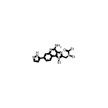 CCC(=O)N(CC)Cc1nc2c(N)nc3cc(-c4ccn[nH]4)ccc3c2n1CC